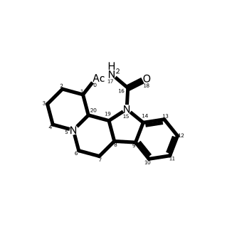 CC(=O)C1CCCN2CCC3c4ccccc4N(C(N)=O)C3C12